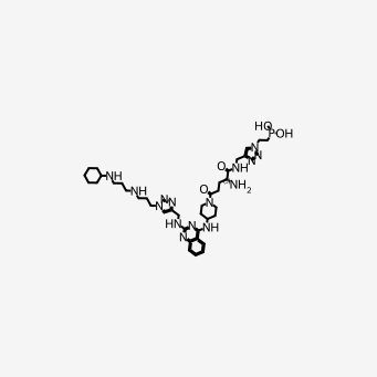 N[C@@H](CCC(=O)N1CCC(Nc2nc(NCc3cn(CCCNCCCNC4CCCCC4)nn3)nc3ccccc23)CC1)C(=O)NCc1cn(CCP(O)O)nn1